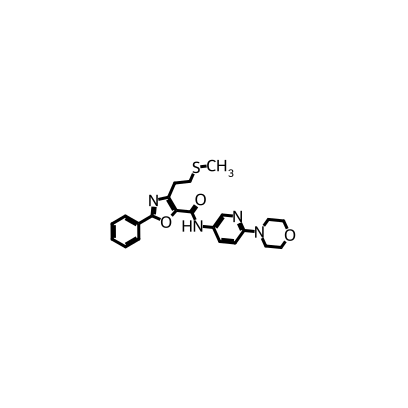 CSCCc1nc(-c2ccccc2)oc1C(=O)Nc1ccc(N2CCOCC2)nc1